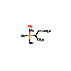 CCCC[P+](CCCC)(CCCC)C(CC(=O)O)C(=O)O.[OH-]